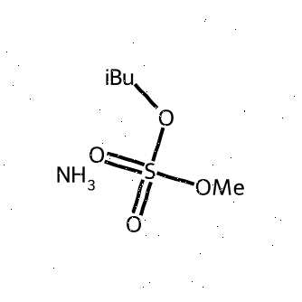 CCC(C)OS(=O)(=O)OC.N